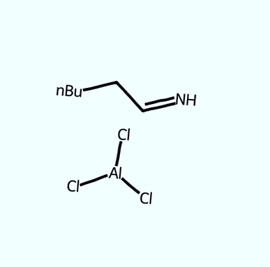 CCCCCC=N.[Cl][Al]([Cl])[Cl]